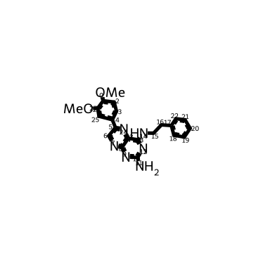 COc1ccc(-c2cnc3nc(N)nc(NCCc4ccccc4)c3n2)cc1OC